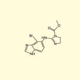 COC(=O)N1CCN=C1Nc1ccc2[nH]cnc2c1Br